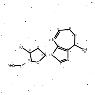 CSC[C@H]1O[C@@H](n2cnc3c2N=CCCC3O)CC1O